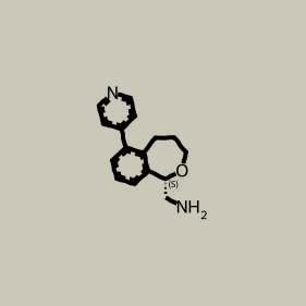 NC[C@H]1OCCCc2c(-c3ccncc3)cccc21